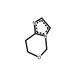 [c]1cn2c(n1)CCOC2